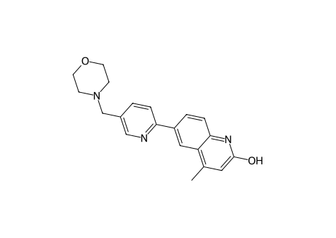 Cc1cc(O)nc2ccc(-c3ccc(CN4CCOCC4)cn3)cc12